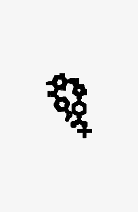 COc1ccc(Nc2nc(Nc3cnn(C4CCN(C(=O)OC(C)(C)C)CC4)c3)ncc2C)cc1